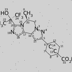 C[C@H]1Cn2nc(C34CCC(C(=O)O)(CC3)CC4)cc2-c2cnc([C@@](C)(O)C(F)(F)F)n21